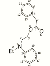 CCN(CCOC(=O)Cc1ccccc1)c1ccccc1